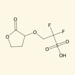 O=C1OCCC1OCC(F)(F)S(=O)(=O)O